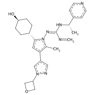 C=N/C(=N\n1c(C)c(-c2cnn(C3COC3)c2)cc1[C@H]1CC[C@H](O)CC1)N[C@@H](C)c1ccncc1